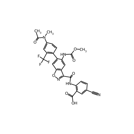 COC(=O)Nc1cc2c(C(=O)Nc3ccc(C#N)cc3C(=O)O)noc2cc1-c1ccc(N(C)C(C)=O)cc1C(F)(F)F